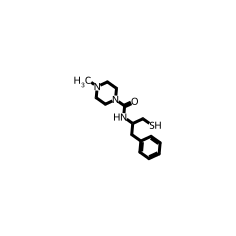 CN1CCN(C(=O)NC(CS)Cc2ccccc2)CC1